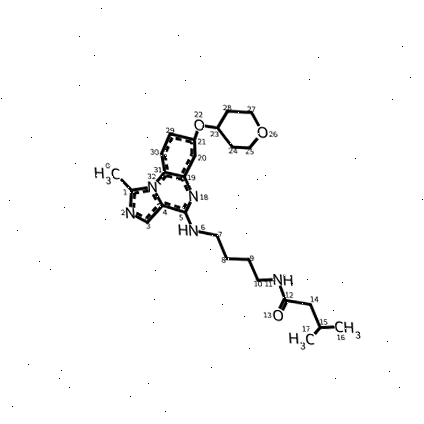 Cc1ncc2c(NCCCCNC(=O)CC(C)C)nc3cc(OC4CCOCC4)ccc3n12